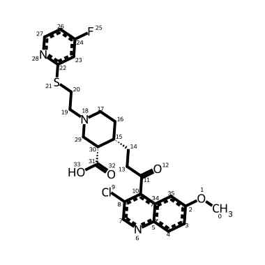 COc1ccc2ncc(Cl)c(C(=O)CC[C@H]3CCN(CCSc4cc(F)ccn4)C[C@H]3C(=O)O)c2c1